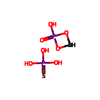 O=P1(O)OBO1.OP(O)(O)=S